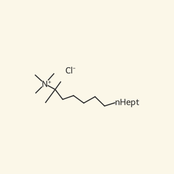 CCCCCCCCCCCCC(C)(C)[N+](C)(C)C.[Cl-]